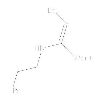 CC/C=C(\NCCC(C)C)C(C)CCC